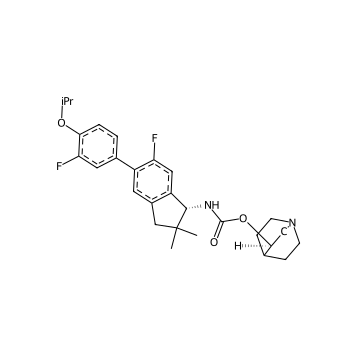 CC(C)Oc1ccc(-c2cc3c(cc2F)[C@H](NC(=O)O[C@H]2CN4CCC2CC4)C(C)(C)C3)cc1F